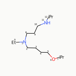 CCN(CCCCOC(C)C)CCCNC(C)C